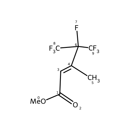 COC(=O)/C=C(\C)C(F)(C(F)(F)F)C(F)(F)F